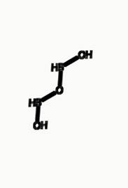 OBOBO